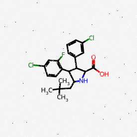 CC(C)(C)CC1NC(C(=O)O)C(c2cccc(Cl)c2)C1c1ccc(Cl)cc1F